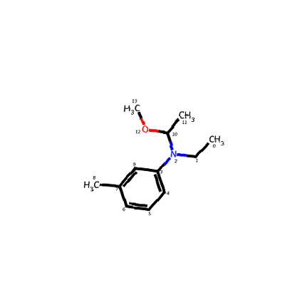 CCN(c1cccc(C)c1)C(C)OC